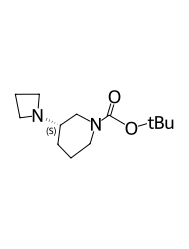 CC(C)(C)OC(=O)N1CCC[C@H](N2CCC2)C1